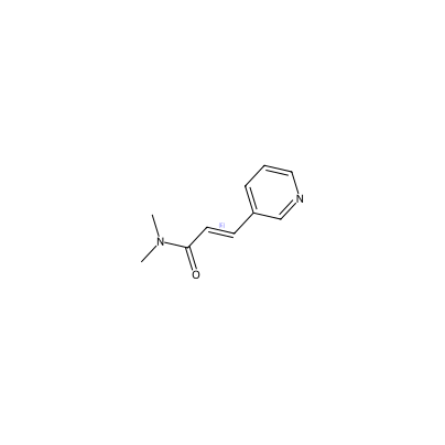 CN(C)C(=O)/C=C/c1cccnc1